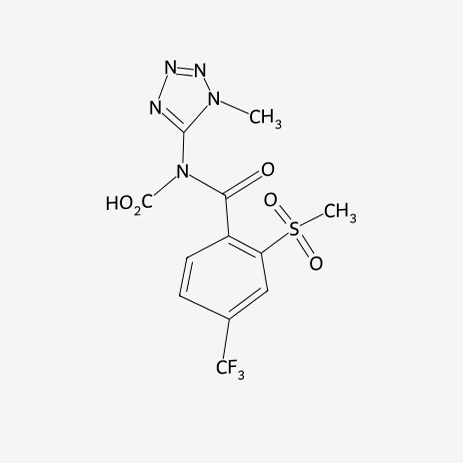 Cn1nnnc1N(C(=O)O)C(=O)c1ccc(C(F)(F)F)cc1S(C)(=O)=O